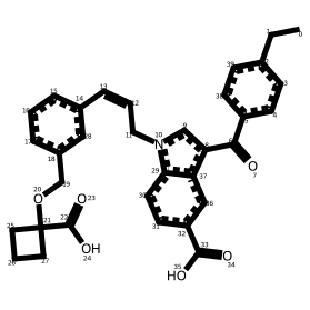 CCc1ccc(C(=O)c2cn(C/C=C\c3cccc(COC4(C(=O)O)CCC4)c3)c3ccc(C(=O)O)cc23)cc1